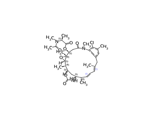 CC(=O)N(C)[C@@H](C)C(=O)O[C@H]1CC(=O)N(C)c2cc(cc(C)c2Cl)C/C(C)=C/C=C/[C@@H](C)[C@@]2(O)C[C@H](OC(=O)N2)[C@@H](C)[C@@H]2O[C@]12C